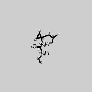 CCNC(=O)NC1(CC(C)C)CC1